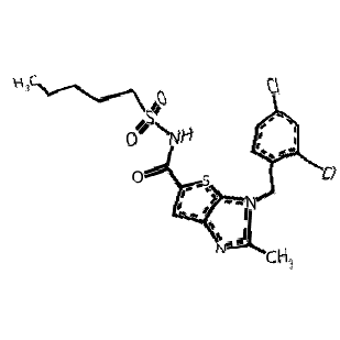 CCCCCS(=O)(=O)NC(=O)c1cc2nc(C)n(Cc3ccc(Cl)cc3Cl)c2s1